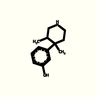 CC1CNCCC1(C)c1cccc(O)c1